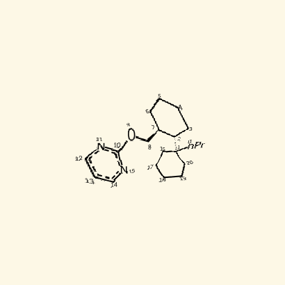 CCCC1([C@H]2CCCC[C@@H]2COc2ncccn2)CCCCC1